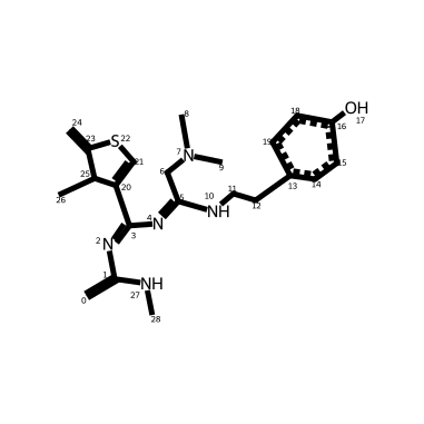 C=C(/N=C(\N=C(/CN(C)C)NCCc1ccc(O)cc1)C1=CSC(=C)C1C)NC